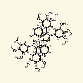 COc1cc(C2=NC(c3ccccc3C)(C3(c4ccccc4C)N=C(c4cc(OC)c(OC)c(OC)c4)C(c4cc(OC)c(OC)c(OC)c4)=N3)N=C2c2cc(OC)c(OC)c(OC)c2)cc(OC)c1OC